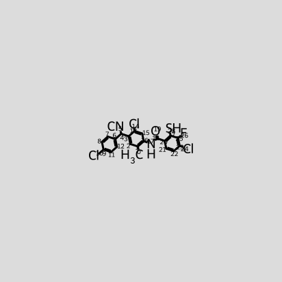 Cc1cc(C(C#N)c2ccc(Cl)cc2)c(Cl)cc1NC(=O)c1ccc(Cl)c(F)c1S